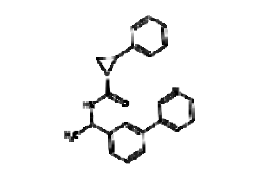 CC(NC(=O)[C@H]1CC1c1ccccc1)c1cccc(-c2cccnc2)c1